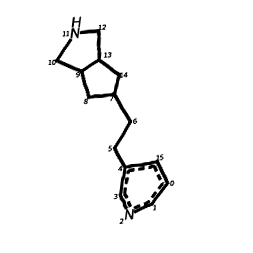 c1cncc(CCC2CC3CNCC3C2)c1